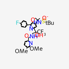 COc1ccc(C(=O)NCC(O)(c2cc3c(c(-c4ccc(F)cc4)n2)OCC3(C)N[S+]([O-])C(C)(C)C)C(F)(F)F)nc1OC